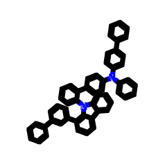 c1ccc(-c2ccc(N(c3ccccc3)c3ccc(-c4ccccc4-n4c5ccccc5c5cccc(-c6cccc(-c7ccccc7)c6)c54)cc3)cc2)cc1